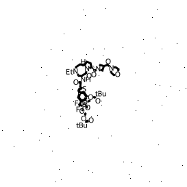 CCN1CC[C@H]2CC[C@@H](C(=O)N3CC(C(=O)N4CCOCC4)C3)N2C(=O)C(NC(=O)c2cc3cc(C(F)(F)P(=O)(OCOC(=O)C(C)(C)C)OCOC(=O)C(C)(C)C)ccc3s2)C1